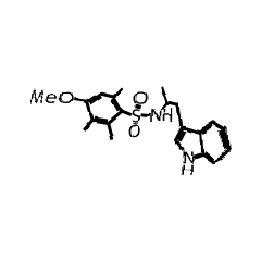 COc1cc(C)c(S(=O)(=O)NC(C)Cc2c[nH]c3ccccc23)c(C)c1C